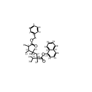 CC(C(=O)OCc1ccccc1)C(C)C(C)(C)CC(C)(C(=O)Oc1cccc2ccccc12)C(C)C